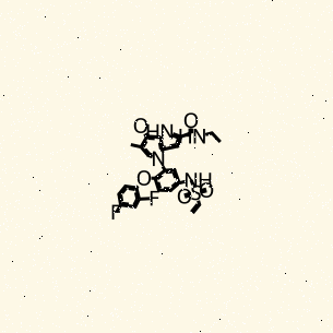 C=CS(=O)(=O)Nc1ccc(Oc2ccc(F)cc2F)c(-n2cc(C)c(=O)c3[nH]c(C(=O)NCC)cc32)c1